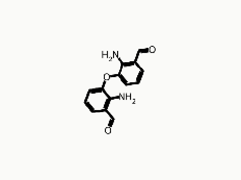 Nc1c(C=O)cccc1Oc1cccc(C=O)c1N